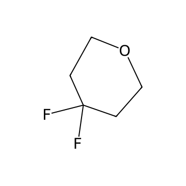 FC1(F)CCOCC1